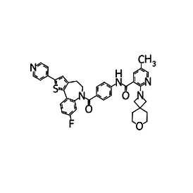 Cc1cnc(N2CC3(CCOCC3)C2)c(C(=O)Nc2ccc(C(=O)N3CCc4cc(-c5ccncc5)sc4-c4ccc(F)cc43)cc2)c1